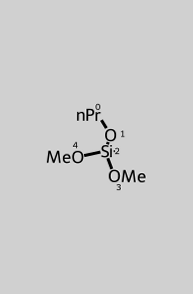 CCCO[Si](OC)OC